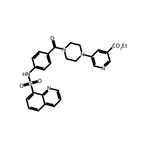 CCOC(=O)c1cncc(N2CCN(C(=O)c3ccc(NS(=O)(=O)c4cccc5cccnc45)cc3)CC2)c1